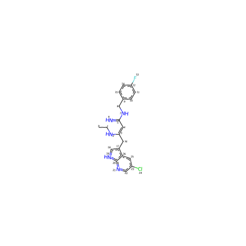 CCN/C(=C\C(=N)NCc1ccc(F)cc1)Cc1c[nH]c2ncc(Cl)cc12